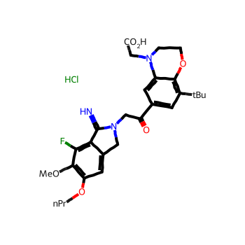 CCCOc1cc2c(c(F)c1OC)C(=N)N(CC(=O)c1cc3c(c(C(C)(C)C)c1)OCCN3CC(=O)O)C2.Cl